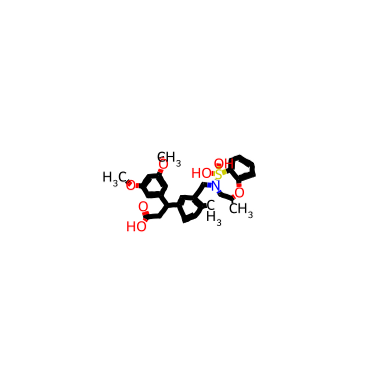 COc1cc(OC)cc(C(CC(=O)O)c2ccc(C)c(CN3C[C@@H](C)Oc4ccccc4S3(O)O)c2)c1